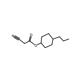 CCCC1CCC(OC(=O)CC#N)CC1